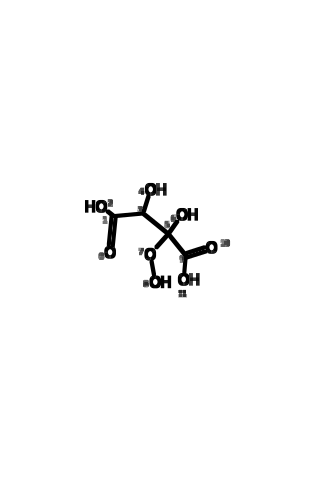 O=C(O)C(O)C(O)(OO)C(=O)O